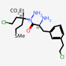 CCOC(=O)[C@](CCCl)(CCSC)N(N)C(=O)[C@@H](N)Cc1cccc(CCCl)c1